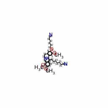 COc1cc2c(cc1OCCCCCC#N)CC[n+]1cc3c(OC)c(OC)ccc3c(CCCCCCC#N)c1-2